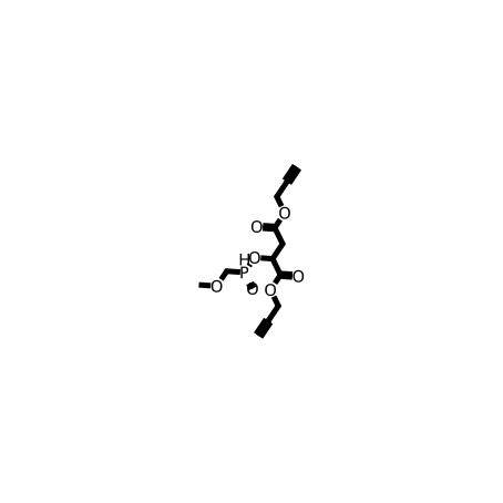 C#CCOC(=O)CC(O[PH](=O)COC)C(=O)OCC#C